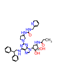 CCC(=O)N[C@H]1C[C@@H](n2cnc3c(NCC(c4ccccc4)c4ccccc4)nc(N4CC[C@@H](NC(=O)NCc5ccccn5)C4)nc32)[C@H](O)[C@@H]1O